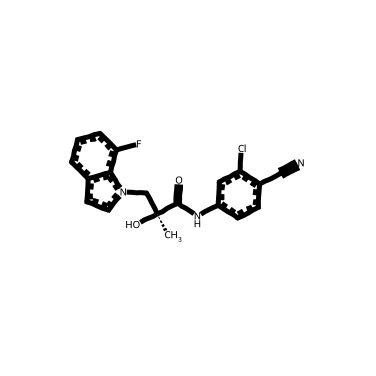 C[C@](O)(Cn1ccc2cccc(F)c21)C(=O)Nc1ccc(C#N)c(Cl)c1